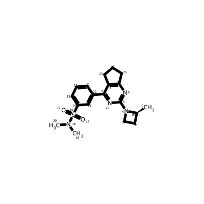 C[C@H]1CCN1c1nc2c(c(-c3cccc(S(=O)(=O)N(C)C)c3)n1)CCC2